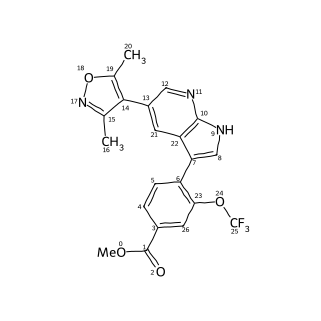 COC(=O)c1ccc(-c2c[nH]c3ncc(-c4c(C)noc4C)cc23)c(OC(F)(F)F)c1